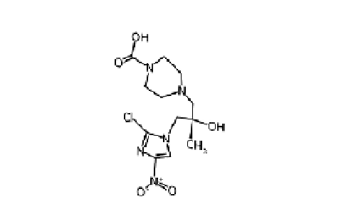 C[C@](O)(CN1CCN(C(=O)O)CC1)Cn1cc([N+](=O)[O-])nc1Cl